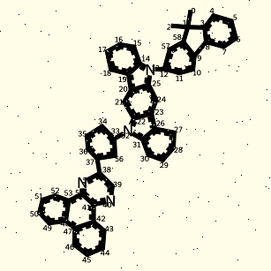 CC1(C)c2ccccc2-c2ccc(-n3c4ccccc4c4cc5c(cc43)c3ccccc3n5-c3cccc(-c4cnc5c6ccccc6c6ccccc6c5n4)c3)cc21